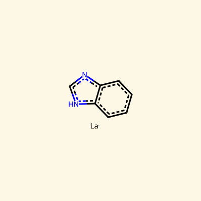 [La].c1ccc2[nH]cnc2c1